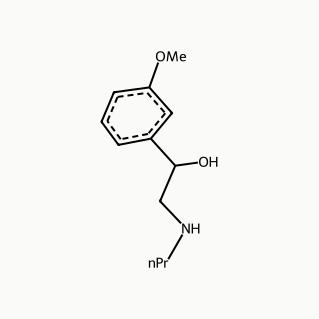 CCCNCC(O)c1cccc(OC)c1